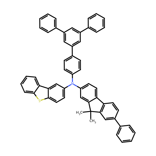 CC1(C)c2cc(-c3ccccc3)ccc2-c2ccc(N(c3ccc(-c4cc(-c5ccccc5)cc(-c5ccccc5)c4)cc3)c3ccc4sc5ccccc5c4c3)cc21